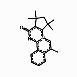 Cc1cn2c3c(c(=O)nc2c2ccccc12)C(C)(C)CC3(C)C